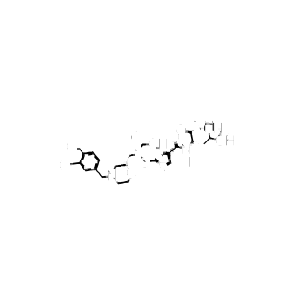 CC(=O)N(C[C@@H]1CN(Cc2ccc(Cl)c(Cl)c2)CCO1)Sc1nc(C(=O)N[C@@H](CC(C)C)C(N)=O)cs1